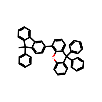 CC1(c2ccccc2)c2ccccc2-c2cc(-c3cccc4c3Oc3ccccc3C4(c3ccccc3)c3ccccc3)ccc21